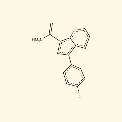 C=C(C(=O)O)c1cc(-c2ccc(F)cc2)c2cccoc1-2